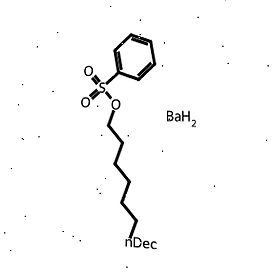 CCCCCCCCCCCCCCCCOS(=O)(=O)c1ccccc1.[BaH2]